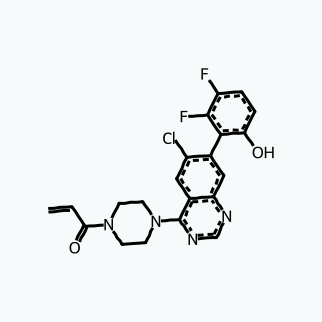 C=CC(=O)N1CCN(c2ncnc3cc(-c4c(O)ccc(F)c4F)c(Cl)cc23)CC1